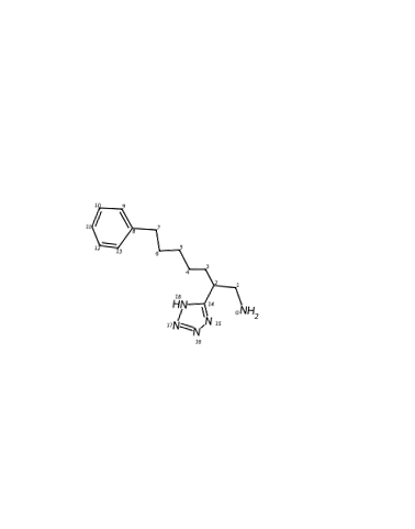 NCC(CCCCCc1ccccc1)c1nnn[nH]1